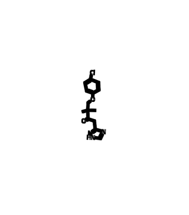 CC(C)(COc1ccc(Cl)cc1)C(=O)Cc1nc[nH]n1